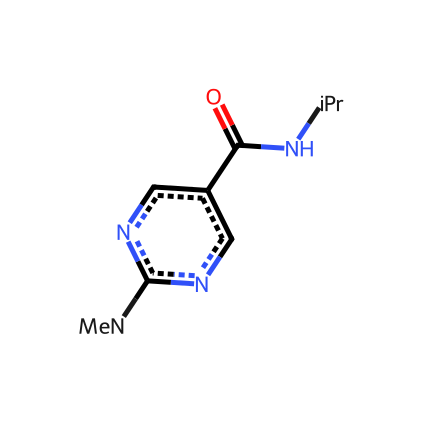 CNc1ncc(C(=O)NC(C)C)cn1